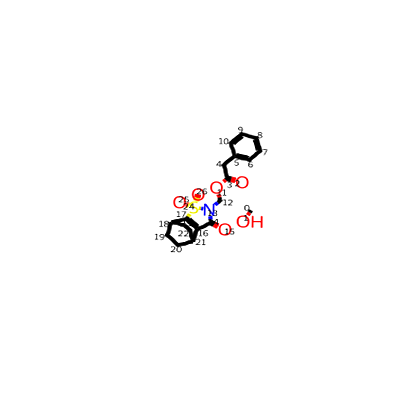 CO.O=C(Cc1ccccc1)OCN1C(=O)C2=C(C3CCC2CC3)S1(=O)=O